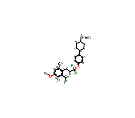 CCCCCC1CCC(c2ccc(OC(F)(F)CCc3c(C)cc(OCC)c(F)c3C(F)F)cc2)CC1